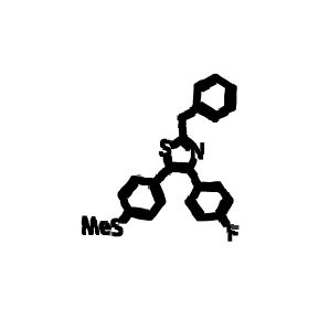 CSc1ccc(-c2sc(Cc3ccccc3)nc2-c2ccc(F)cc2)cc1